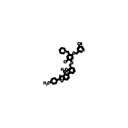 Cc1c(COc2cc(OCc3cncc(C#N)c3)c(CN3CCCCC3)cc2Cl)cccc1-c1ccc2oc(C3CCN(C)CC3)nc2c1C